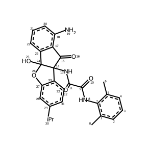 Cc1cccc(C)c1NC(=O)C(=O)NC12C(=O)c3c(N)cccc3C1(O)Oc1cc(C(C)C)ccc12